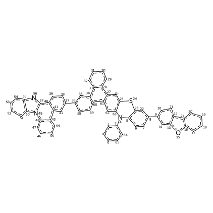 c1ccc(N2c3ccc(-c4ccc5c(c4)oc4ccccc45)cc3Sc3cc4c5ccccc5c5cc(-c6ccc7c(c6)c6ccccc6n6c8ccccc8nc76)ccc5c4cc32)cc1